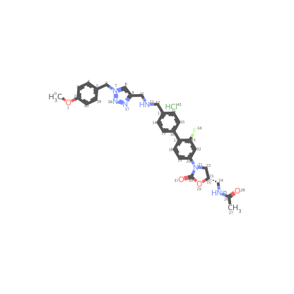 COc1ccc(Cn2cc(CNCc3ccc(-c4ccc(N5C[C@H](CNC(C)=O)OC5=O)cc4F)cc3)nn2)cc1.Cl